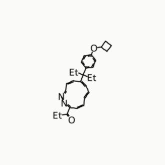 CCC(=O)C1=N/N=C/C=C\C(C(CC)(CC)c2ccc(OC3CCC3)cc2)=C/C=C/C=C\1